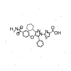 NS(=O)(=O)c1ccc(Oc2c(C3CCCCC3)nn(-c3nc(C(=O)O)cs3)c2-c2ccccc2)cc1